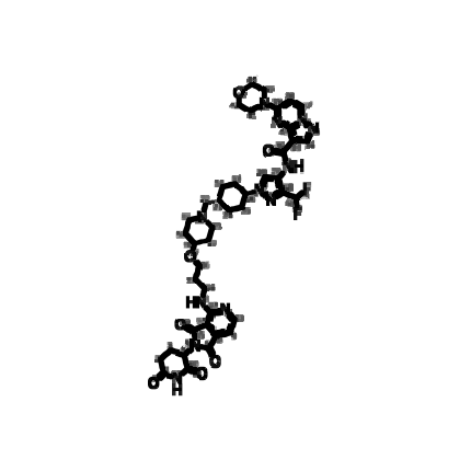 O=C1CCC(N2C(=O)c3ccnc(NCCCOC4CCN(C[C@H]5CC[C@H](n6cc(NC(=O)c7cnn8ccc(N9CCOCC9)nc78)c(C(F)F)n6)CC5)CC4)c3C2=O)C(=O)N1